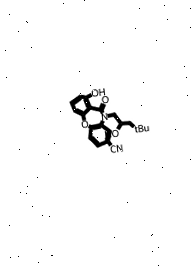 CC(C)(C)CC(O)CN1C(=O)c2c(O)cccc2Oc2ccc(C#N)cc21